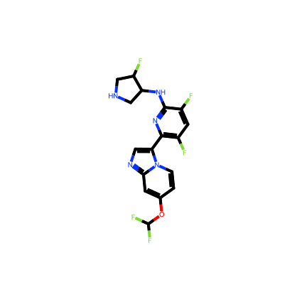 Fc1cc(F)c(-c2cnc3cc(OC(F)F)ccn23)nc1NC1CNCC1F